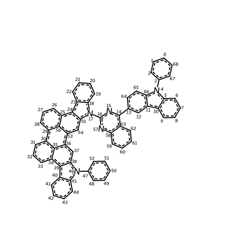 c1ccc(-n2c3ccccc3c3cc(-c4nc(-n5c6ccccc6c6c7cccc8c9cccc%10c9c(cc9c%10c%10ccccc%10n9-c9ccccc9)c(cc65)c87)nc5ccccc45)ccc32)cc1